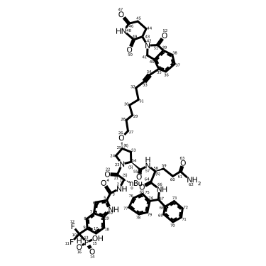 CCCC[C@H](NC(=O)c1cc2cc(C(F)(F)P(=O)(O)O)ccc2[nH]1)C(=O)N1C[C@H](OCCCCCCC#Cc2cccc3c2CN(C2CCC(=O)NC2=O)C3=O)C[C@H]1C(=O)N[C@@H](CCC(N)=O)C(=O)NC(c1ccccc1)c1ccccc1